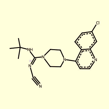 CC(C)(C)N/C(=N/C#N)N1CCN(c2ccnc3cc(Cl)ccc23)CC1